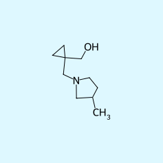 CC1CCN(CC2(CO)CC2)C1